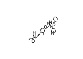 C=CC(=O)NCC#Cc1ccc(OCc2nnc(SC3C=CCCC3)n2-c2cccnc2)cc1C